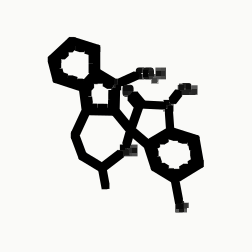 CC1CCc2c(n(C(=O)O)c3ccccc23)C2(N1)C(=O)N(C(C)(C)C)c1ccc(Br)cc12